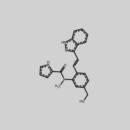 CN(C(=O)c1ccc[nH]1)c1cc(CO)ccc1/C=C/c1n[nH]c2ccccc12